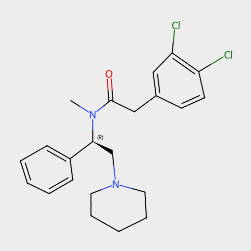 CN(C(=O)Cc1ccc(Cl)c(Cl)c1)[C@@H](CN1CCCCC1)c1ccccc1